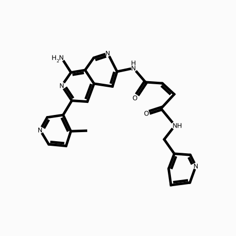 Cc1ccncc1-c1cc2cc(NC(=O)/C=C\C(=O)NCc3cccnc3)ncc2c(N)n1